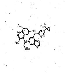 CC(=O)c1cc(N[C@H](c2cn(C3(C(F)(F)F)CC3)nn2)c2cccc3ncsc23)cc2c(NCC(C)(C)C)c(C#N)cnc12